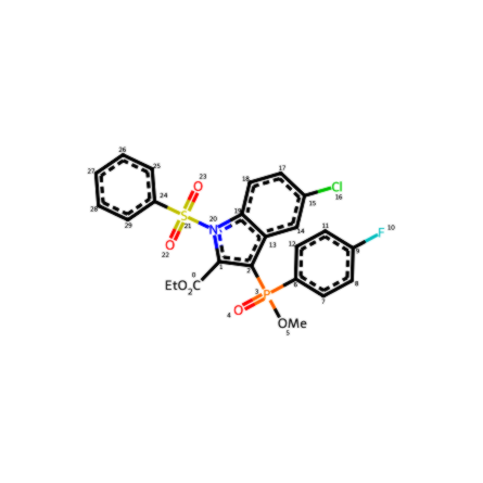 CCOC(=O)c1c(P(=O)(OC)c2ccc(F)cc2)c2cc(Cl)ccc2n1S(=O)(=O)c1ccccc1